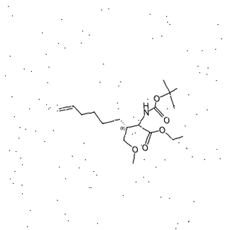 C=CCCCC[C@@H](COC)C(NC(=O)OC(C)(C)C)C(=O)OCC